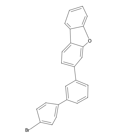 Brc1ccc(-c2cccc(-c3ccc4c(c3)oc3ccccc34)c2)cc1